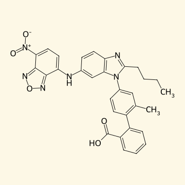 CCCCc1nc2ccc(Nc3ccc([N+](=O)[O-])c4nonc34)cc2n1-c1ccc(-c2ccccc2C(=O)O)c(C)c1